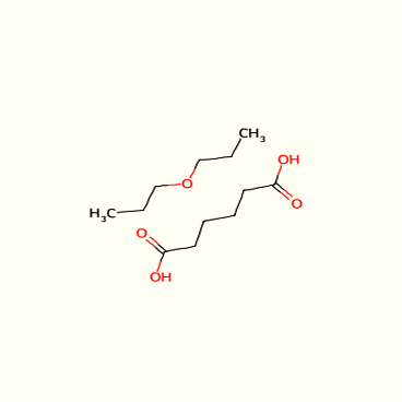 CCCOCCC.O=C(O)CCCCC(=O)O